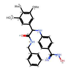 COc1cc(C(Nc2ccc(C(=N)NO)cc2)C(=O)NCc2ccccc2)cc(C(=O)O)c1OC